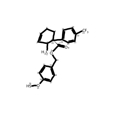 CC1C=CCC[C@@]1(C(=O)OCc1ccc(OS)cc1)c1ccc(C(F)(F)F)cc1